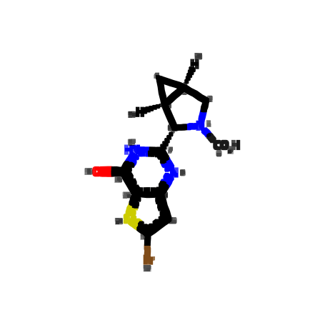 O=C(O)N1C[C@@H]2C[C@@H]2[C@H]1c1nc2cc(Br)sc2c(=O)[nH]1